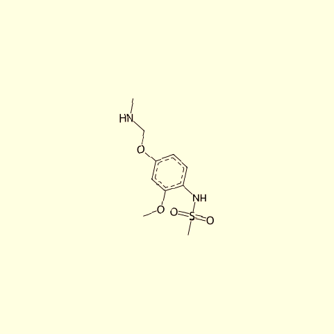 CNCOc1ccc(NS(C)(=O)=O)c(OC)c1